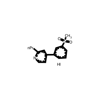 CCCc1cc(-c2cccc(S(C)(=O)=O)c2)ccn1.I